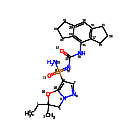 CCC1(C)Cn2ncc(S(N)(=O)=NC(=O)Nc3c4c(cc5c3CCC5)CCC4)c2O1